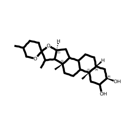 CC1CCC2(OC1)O[C@H]1CC3C4CC[C@@H]5C[C@@H](O)C(O)C[C@]5(C)C4CC[C@]3(C)C1C2C